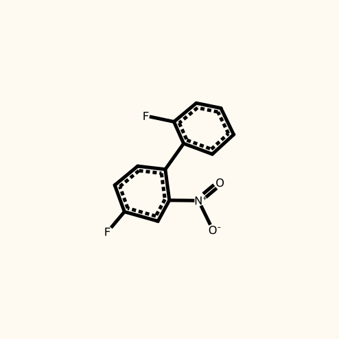 O=[N+]([O-])c1cc(F)ccc1-c1ccccc1F